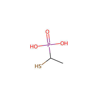 CC(S)P(=O)(O)O